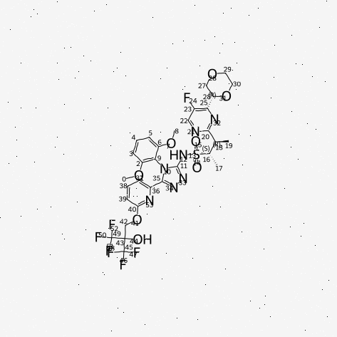 COc1cccc(OC)c1-n1c(NS(=O)(=O)[C@@H](C)[C@H](C)c2ncc(F)c([C@@H]3COCCO3)n2)nnc1-c1cccc(OCC(O)(C(F)(F)F)C(F)(F)F)n1